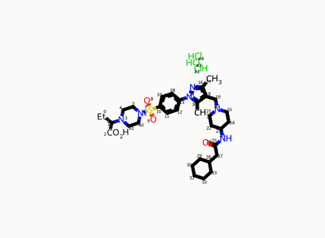 CCC(C(=O)O)N1CCN(S(=O)(=O)c2ccc(-n3nc(C)c(CN4CCC(NC(=O)CC5CCCCC5)CC4)c3C)cc2)CC1.Cl.Cl.Cl